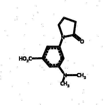 CN(C)c1cc(C(=O)O)cc(N2CCCC2=O)c1